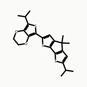 CC(C)c1cc2c(s1)-c1sc(-c3sc(C(C)C)c4c3OCCO4)cc1C2(C)C